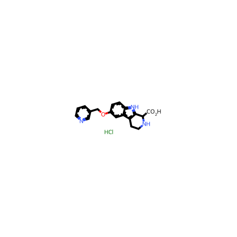 Cl.O=C(O)C1NCCc2c1[nH]c1ccc(OCc3cccnc3)cc21